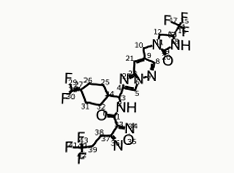 O=C(NC(c1cn2ncc(CN3C[C@@H](C(F)(F)F)NC3=O)cc2n1)C1CCC(=C(F)F)CC1)c1nonc1CCC(F)(F)F